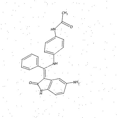 CC(=O)Nc1ccc(NC(=C2C(=O)Nc3ccc(N)cc32)c2ccccc2)cc1